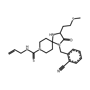 C=CCNC(=S)N1CCC2(CC1)NC(CCSC)C(=O)N2Cc1ccccc1C#N